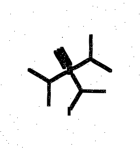 C#S(C(C)C)(C(C)C)C(C)I